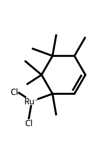 CC1C=C[C](C)([Ru-]([Cl])[Cl])C(C)(C)C1(C)C